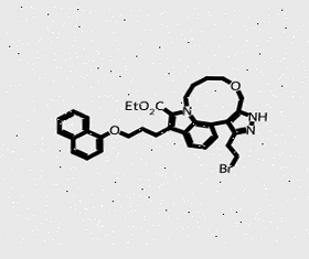 CCOC(=O)c1c(CCCOc2cccc3ccccc23)c2cccc3c2n1CCCCOCc1[nH]nc(CCBr)c1-3